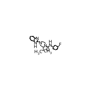 CC(C)C1CN(c2nc3ccccc3[nH]2)CCN1C(=O)Nc1cccc(F)c1